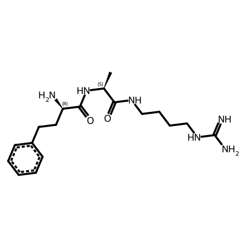 C[C@H](NC(=O)[C@H](N)CCc1ccccc1)C(=O)NCCCCNC(=N)N